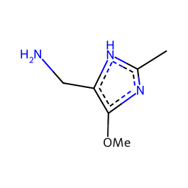 COc1nc(C)[nH]c1CN